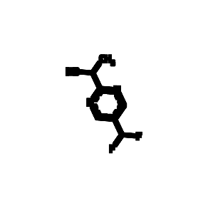 CC(O)c1ncc(C(F)F)cn1